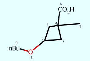 CCCCOC1CC(C)(C(=O)O)C1